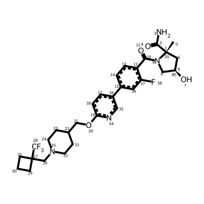 C[C@@]1(C(N)=O)C[C@@H](O)CN1C(=O)c1ccc(-c2ccc(OCC3CCN(CC4(C(F)(F)F)CCC4)CC3)nc2)cc1F